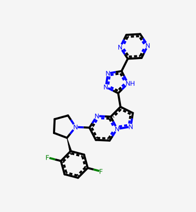 Fc1ccc(F)c([C@H]2CCCN2c2ccn3ncc(-c4nnc(-c5cnccn5)[nH]4)c3n2)c1